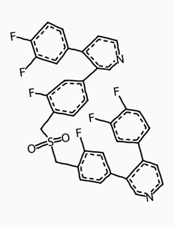 O=S(=O)(Cc1ccc(-c2cnccc2-c2ccc(F)c(F)c2)cc1F)Cc1ccc(-c2cnccc2-c2ccc(F)c(F)c2)cc1F